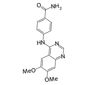 COc1cc2ncnc(Nc3ccc(C(N)=O)cc3)c2cc1OC